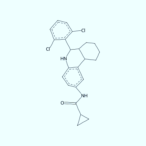 O=C(Nc1ccc2c(c1)C1CCCCC1C(c1c(Cl)cccc1Cl)N2)C1CC1